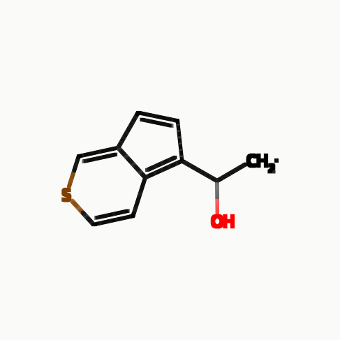 [CH2]C(O)c1ccc2csccc1-2